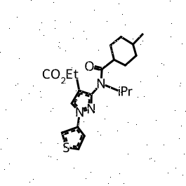 CCOC(=O)c1cn(-c2ccsc2)nc1N(C(=O)C1CCC(C)CC1)C(C)C